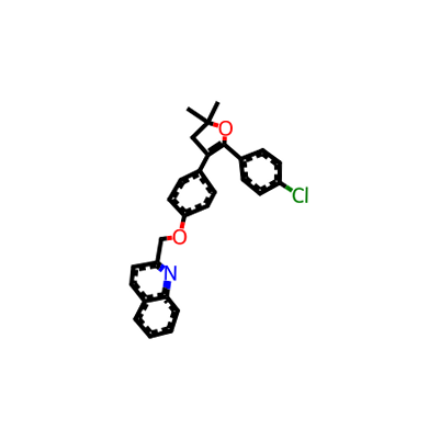 CC1(C)CC(c2ccc(OCc3ccc4ccccc4n3)cc2)=C(c2ccc(Cl)cc2)O1